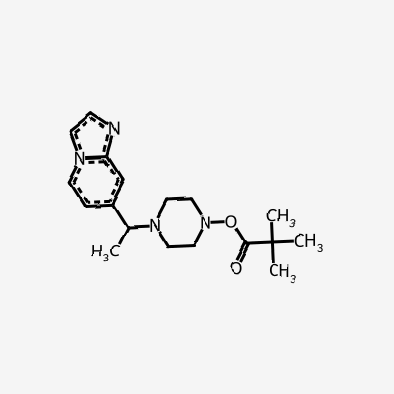 CC(c1ccn2ccnc2c1)N1CCN(OC(=O)C(C)(C)C)CC1